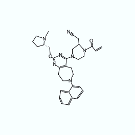 C=CC(=O)N1CCN(c2nc(OC[C@@H]3CCCN3C)nc3c2CCN(c2cccc4ccccc24)CC3)CC1CC#N